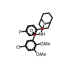 COc1cc(Cl)cc(C(=O)NC2CC3CCCC(C2)N3Cc2ccc(F)cc2)c1OC